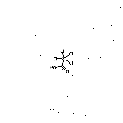 O=[C](O)[Zr]([Cl])([Cl])([Cl])[Cl]